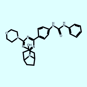 O=C(Nc1ccccc1)Nc1ccc(-c2nc(N3CCOCC3)nc(N3C4CCC3CC(O)C4)n2)cc1